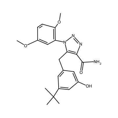 COc1ccc(OC)c(-n2nnc(C(N)=O)c2Cc2cc(O)cc(C(C)(C)C)c2)c1